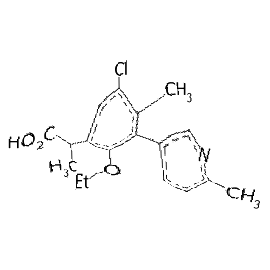 CCOc1c(C(C)C(=O)O)cc(Cl)c(C)c1-c1ccc(C)nc1